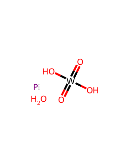 O.[O]=[W](=[O])([OH])[OH].[P]